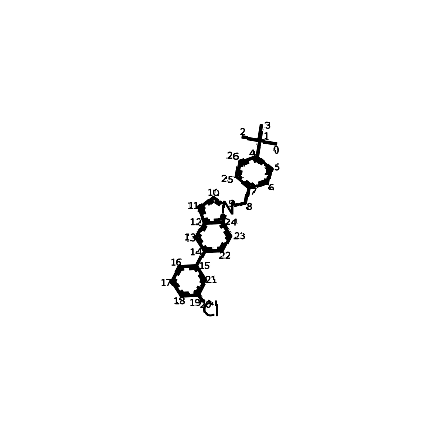 CC(C)(C)c1ccc(Cn2c[c]c3cc(-c4cccc(Cl)c4)ccc32)cc1